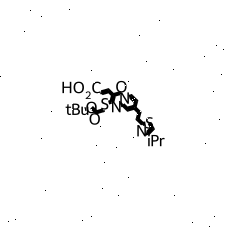 CC(C)c1csc(CCc2ccn3c(=O)c(C=CC(=O)O)c(SCC(=O)OC(C)(C)C)nc3c2)n1